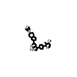 COc1ccnc(-c2ccc(-c3c[nH]c4ncc(-c5ccc6c(c5)CC[C@@H](N5C7COCC5C7)CC6)cc34)cc2)c1C